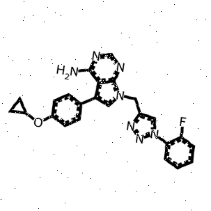 Nc1ncnc2c1c(-c1ccc(OC3CC3)cc1)cn2Cc1cn(-c2ccccc2F)nn1